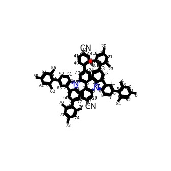 Cc1cc(C)c(-c2ccc3c(c2)c2cc(-c4c(C)cc(C)cc4C)ccc2n3-c2cc(C#N)ccc2-c2ccc(-c3ccc(C#N)cc3C(F)(F)F)cc2-n2c3ccc(-c4c(C)cc(C)cc4C)cc3c3cc(-c4c(C)cc(C)cc4C)ccc32)c(C)c1